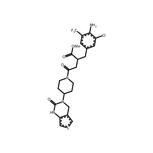 COC(=O)C(CC(=O)N1CCC(N2Cc3cscc3NC2=O)CC1)Cc1cc(Cl)c(N)c(C(F)(F)F)c1